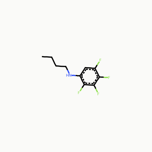 CCCCNc1cc(F)c(F)c(F)c1F